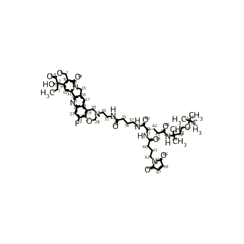 CC[C@@]1(O)C(=O)OCc2c1cc1n(c2=O)Cc2cc3c4c(c(F)cc3nc2-1)OCN(CCNC(=O)CCCNC(=O)[C@H](CCC(=O)NC(C)(C)CCOC(C)(C)C)NC(=O)CCCN1C(=O)C=CC1=O)C4